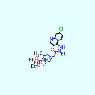 CCOC(=O)CN(CC(=O)N(CC)Nc1ccnc2cc(Cl)ccc12)CC(C)NC(OCC)OCC